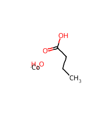 CCCC(=O)O.O.[Co]